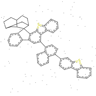 c1ccc2c(c1)-c1cc(-c3ccc(-c4ccc5c(c4)sc4ccccc45)c4ccccc34)c3c(sc4ccccc43)c1C21C2CCC3CCC(C2)CC31